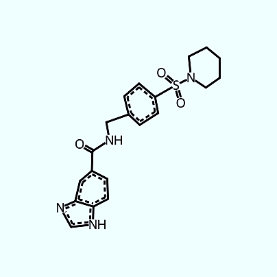 O=C(NCc1ccc(S(=O)(=O)N2CCCCC2)cc1)c1ccc2[nH]cnc2c1